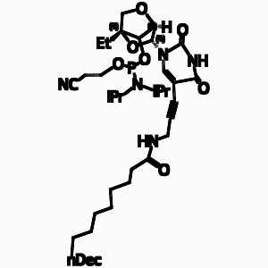 CCCCCCCCCCCCCCCCCC(=O)NCC#Cc1cn([C@@H]2O[C@]3(CC)CO[C@@H]2C3OP(OCCC#N)N(C(C)C)C(C)C)c(=O)[nH]c1=O